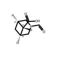 O=CN1C[C@H]2C[C@@H](C1)[C@@H]2C(=O)O